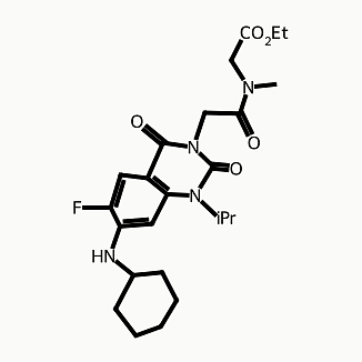 CCOC(=O)CN(C)C(=O)Cn1c(=O)c2cc(F)c(NC3CCCCC3)cc2n(C(C)C)c1=O